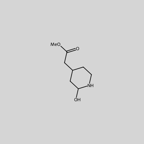 COC(=O)CC1CCNC(O)C1